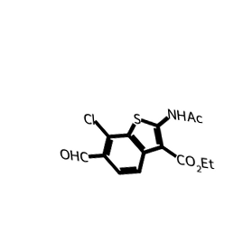 CCOC(=O)c1c(NC(C)=O)sc2c(Cl)c(C=O)ccc12